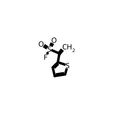 C=C(c1cccs1)S(=O)(=O)F